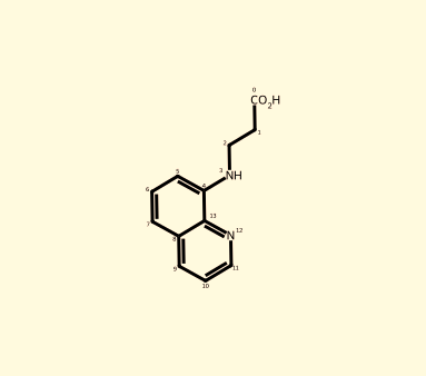 O=C(O)CCNc1cccc2cccnc12